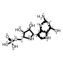 Nc1nc(O)c2[nH]cc([C@@H]3N[C@H](COP(=O)(O)O)[C@@H](O)[C@H]3O)c2n1